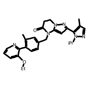 CCOc1cccnc1-c1ccc(CN2C(=O)CCn3nc(-c4c(C)cnn4C(C)C)cc32)cc1C